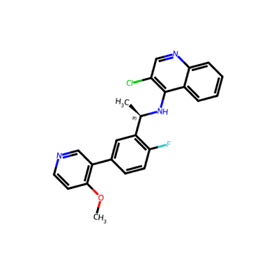 COc1ccncc1-c1ccc(F)c([C@@H](C)Nc2c(Cl)cnc3ccccc23)c1